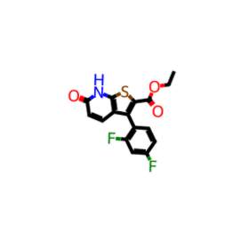 CCOC(=O)c1sc2[nH]c(=O)ccc2c1-c1ccc(F)cc1F